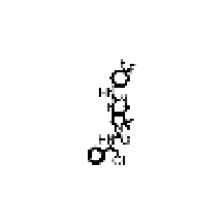 CC1(C)c2cnc(NC3CCC(F)(F)CC3)nc2CN1C(=O)NC(CO)c1ccccc1